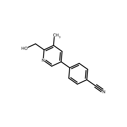 Cc1cc(-c2ccc(C#N)cc2)cnc1CO